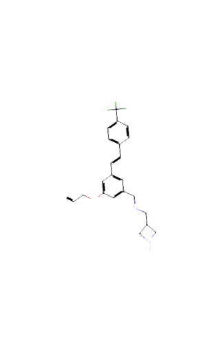 C=CCOc1cc(/C=C/c2ccc(C(F)(F)F)cc2)cc(CNCC2CNC2)c1